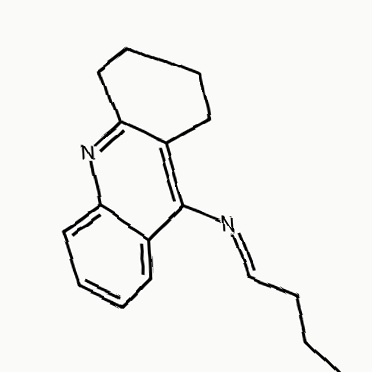 CCCC=Nc1c2c(nc3ccccc13)CCCC2